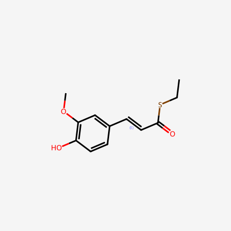 CCSC(=O)/C=C/c1ccc(O)c(OC)c1